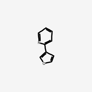 [c]1ccc(-c2ccoc2)nc1